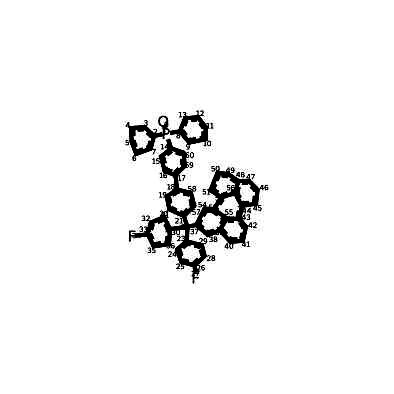 O=P(c1ccccc1)(c1ccccc1)c1ccc(-c2ccc(C(c3ccc(F)cc3)(c3ccc(F)cc3)c3cc4cccc5c6cccc7cccc(c(c3)c45)c76)cc2)cc1